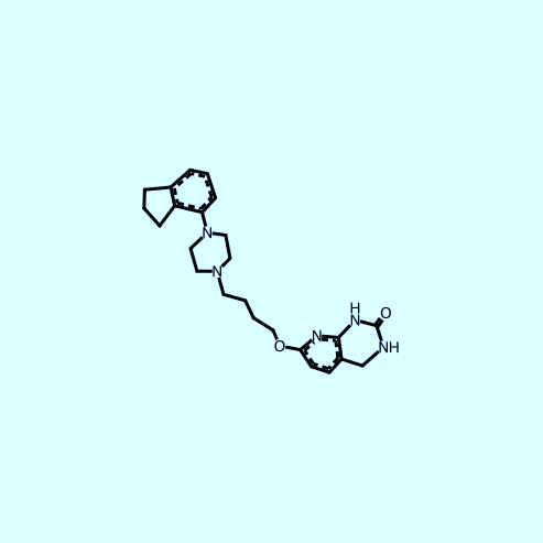 O=C1NCc2ccc(OCCCCN3CCN(c4cccc5c4CCC5)CC3)nc2N1